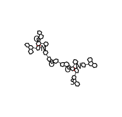 c1ccc(N(c2ccc(-c3ccc4oc5cc(-c6ccc7c(ccc8c7oc7cccc(-c9ccccc9N(c9ccc(-c%10ccc%11sc%12ccccc%12c%11c%10)cc9)c9ccc(-c%10cc%11ccccc%11c%11ccccc%10%11)cc9)c78)c6)ccc5c4c3)cc2)c2ccc(-c3cc4ccccc4c4ccccc34)cc2)c(-c2cccc3oc4c5ccccc5ccc4c23)c1